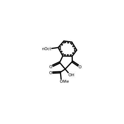 CCCCCCCCc1cccc2c1C(=O)C(O)(C(=O)OC)C2=O